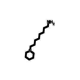 NCCCCCCCCN1CCCCC1